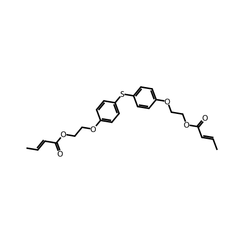 CC=CC(=O)OCCOc1ccc(Sc2ccc(OCCOC(=O)C=CC)cc2)cc1